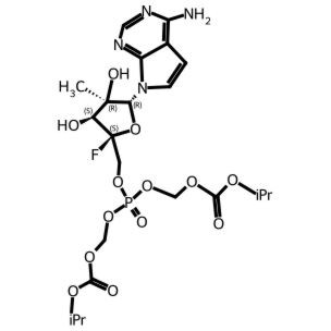 CC(C)OC(=O)OCOP(=O)(OCOC(=O)OC(C)C)OC[C@@]1(F)O[C@@H](n2ccc3c(N)ncnc32)[C@](C)(O)[C@@H]1O